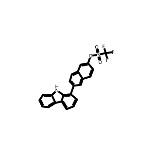 O=S(=O)(Oc1ccc2cc(-c3cccc4c3[nH]c3ccccc34)ccc2c1)C(F)(F)F